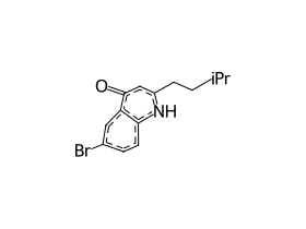 CC(C)CCc1cc(=O)c2cc(Br)ccc2[nH]1